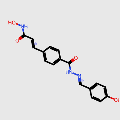 O=C(/C=C/c1ccc(C(=O)N/N=C/c2ccc(O)cc2)cc1)NO